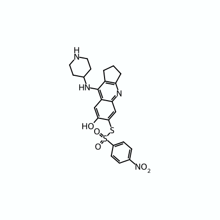 O=[N+]([O-])c1ccc(S(=O)(=O)Sc2cc3nc4c(c(NC5CCNCC5)c3cc2O)CCC4)cc1